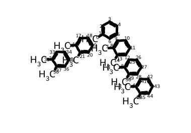 Cc1ccccc1.Cc1ccccc1C.Cc1ccccc1C.Cc1ccccc1C.Cc1ccccc1C.Cc1ccccc1C